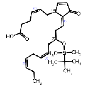 CC/C=C\C/C=C\C[C@@H](C/C=C1/C(=O)C=C[C@@H]1C/C=C\CCC(=O)O)O[Si](C)(C)C(C)(C)C